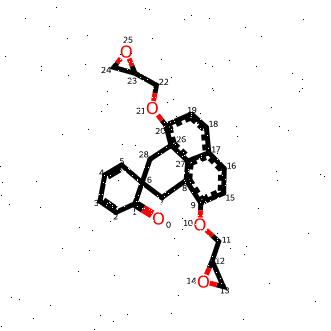 O=C1C=CC=CC12Cc1c(OCC3CO3)ccc3ccc(OCC4CO4)c(c13)C2